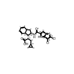 O=C(N[C@@H]1CC2C=CC=CC2[C@H]1C(CC1CC1)C(=O)O)c1cc2sc(Cl)c(Cl)c2[nH]1